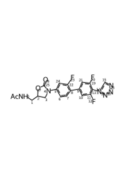 CC(=O)NCC1CN(c2ccc(-c3cc(F)c(-n4cnnn4)c(F)c3)c(F)c2)C(=O)O1